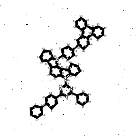 c1ccc(-c2ccc(-c3nc(-c4ccccc4)nc(-n4c5ccccc5c5c4ccc4c6ccccc6n(-c6ccc(-c7ccc8c9ccccc9c9ccccc9c8c7)cc6)c45)n3)cc2)cc1